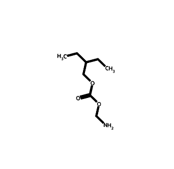 CCC(CC)COC(=O)OCN